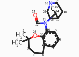 CC1(C)CCCc2cccc(N(C=O)C3CN4CCC3CC4)c2O1